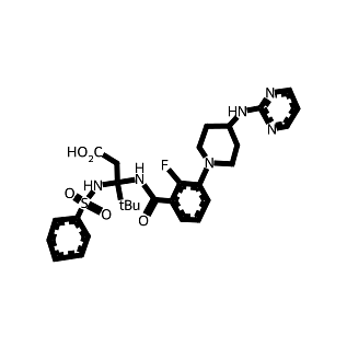 CC(C)(C)C(CC(=O)O)(NC(=O)c1cccc(N2CCC(Nc3ncccn3)CC2)c1F)NS(=O)(=O)c1ccccc1